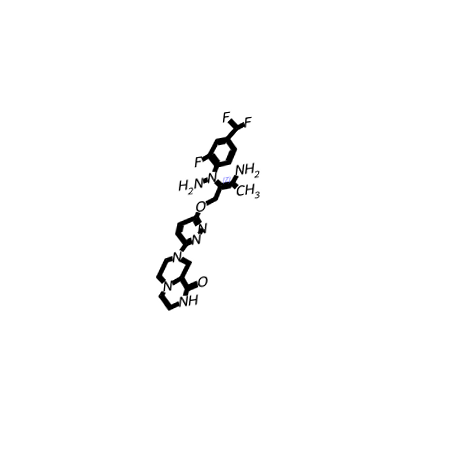 C/C(N)=C(\COc1ccc(N2CCN3CCNC(=O)C3C2)nn1)N(N)c1ccc(C(F)F)cc1F